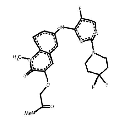 CNC(=O)COc1cc2cc(Nc3nc(N4CCC(F)(F)CC4)ncc3F)ccc2n(C)c1=O